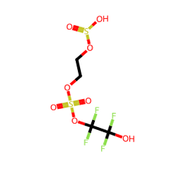 O=S(O)OCCOS(=O)(=O)OC(F)(F)C(O)(F)F